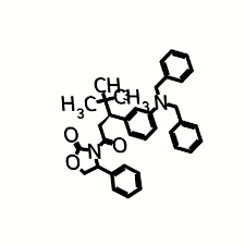 CC(C)(C)[C@H](CC(=O)N1C(=O)OCC1c1ccccc1)c1cccc(N(Cc2ccccc2)Cc2ccccc2)c1